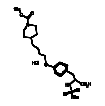 CCCCS(=O)(=O)NC(Cc1ccc(OCCCCC2CCN(C(=O)OC(C)(C)C)CC2)cc1)C(=O)O.Cl